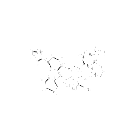 CNC(=O)[C@@H]1CCCNN1C(=O)C(CCc1ccc(-c2cocn2)cc1)CC(CCCc1ccccc1)C(=O)O